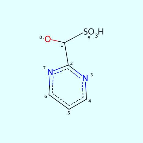 [O]C(c1ncccn1)S(=O)(=O)O